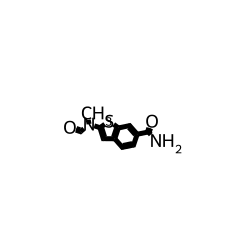 CN(C=O)c1cc2ccc(C(N)=O)cc2s1